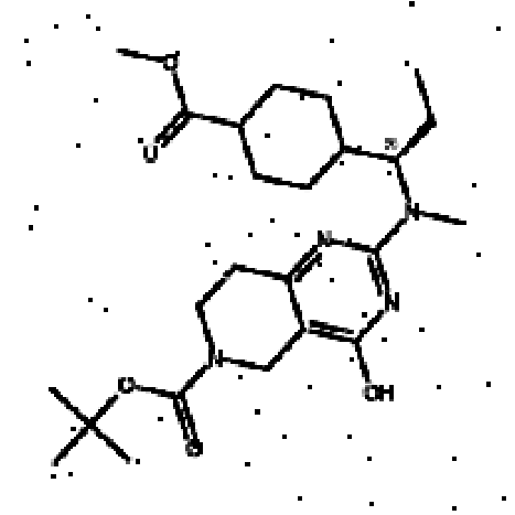 CC[C@H](C1CCC(C(=O)OC)CC1)N(C)c1nc(O)c2c(n1)CCN(C(=O)OC(C)(C)C)C2